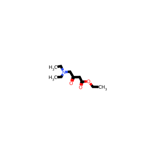 CCOC(=O)CC(=O)CN(CC)CC